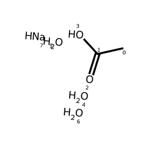 CC(=O)O.O.O.O.[NaH]